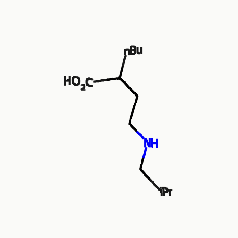 CCCCC(CCNCC(C)C)C(=O)O